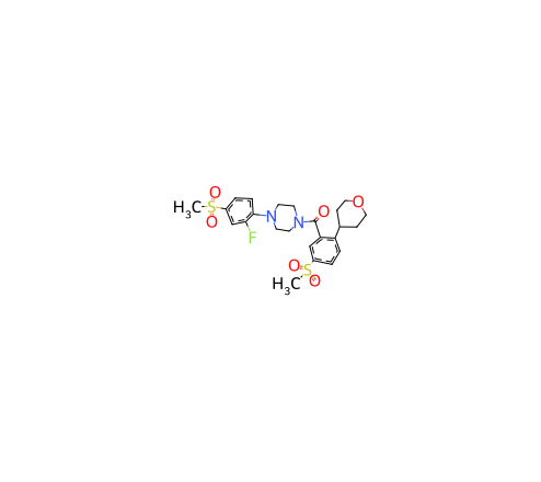 CS(=O)(=O)c1ccc(N2CCN(C(=O)c3cc(S(C)(=O)=O)ccc3C3CCOCC3)CC2)c(F)c1